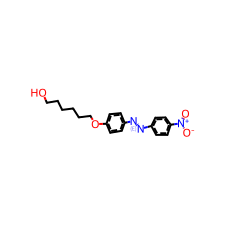 O=[N+]([O-])c1ccc(/N=N/c2ccc(OCCCCCCO)cc2)cc1